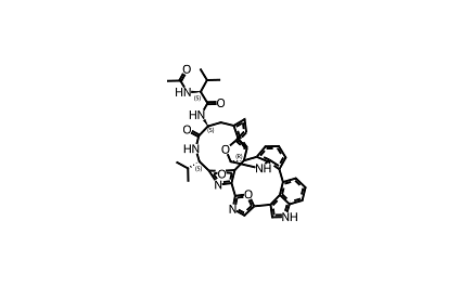 CC(=O)N[C@H](C(=O)N[C@H]1Cc2ccc3c(c2)[C@]24c5cccc(c5NC2O3)-c2cccc3[nH]cc(c23)-c2cnc(o2)-c2nc(oc24)[C@H](C(C)C)NC1=O)C(C)C